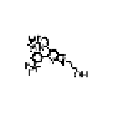 CS(=O)(=O)c1nccc(-c2cc3cn(CCCO)nc3nc2-c2cccc(C(F)(F)F)c2)n1